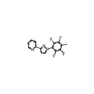 Cc1c(F)c(F)c(-n2ccc(-c3ccccn3)n2)c(F)c1F